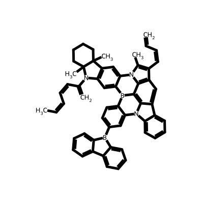 C=C/C=C\c1c(C)n2c3c4c5c(cc13)c1ccccc1n5-c1cc(B3c5ccccc5-c5ccccc53)ccc1B4c1cc3c(cc1-2)C1(C)CCCCC1(C)N3C(=C)/C=C\C=C/C